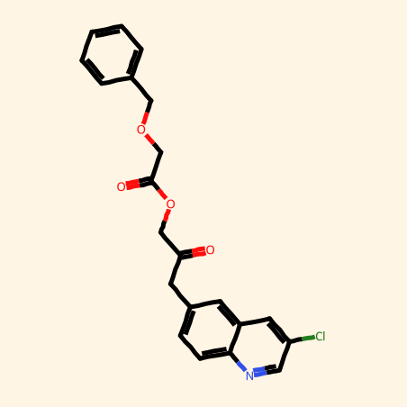 O=C(COC(=O)COCc1ccccc1)Cc1ccc2ncc(Cl)cc2c1